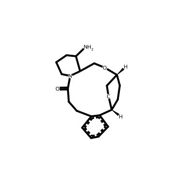 NC1CCCN2C(=O)CCc3ccccc3[C@H]3CC[C@H](CC3)OCC12